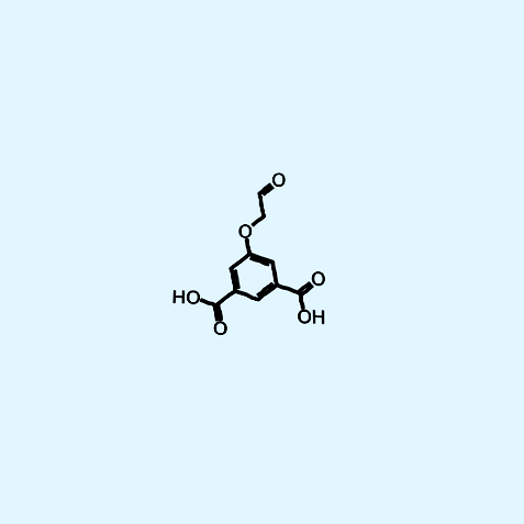 O=CCOc1cc(C(=O)O)cc(C(=O)O)c1